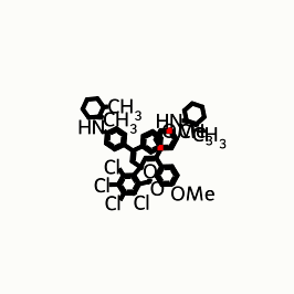 COc1ccc(/C(=C\C2(/C=C(/c3ccc(NC4(C)CCCCC4C)cc3)c3ccc(OC)cc3)OC(=O)c3c(Cl)c(Cl)c(Cl)c(Cl)c32)c2ccc(NC3(C)CCCCC3C)cc2)cc1